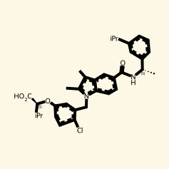 Cc1c(C)n(Cc2cc(O[C@H](C(=O)O)C(C)C)ccc2Cl)c2ccc(C(=O)N[C@@H](C)c3cccc(C(C)C)c3)cc12